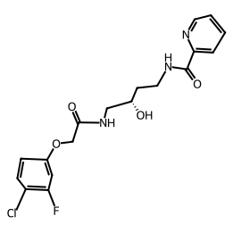 O=C(COc1ccc(Cl)c(F)c1)NC[C@@H](O)CCNC(=O)c1ccccn1